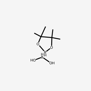 CC1(C)OBOC1(C)C.OBO